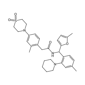 Cc1ccc(C(NC(=O)Cc2ccc(N3CCS(=O)(=O)CC3)cc2C)c2ccc(C)o2)c(N2CCCCC2)c1